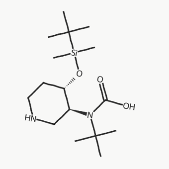 CC(C)(C)N(C(=O)O)[C@H]1CNCC[C@@H]1O[Si](C)(C)C(C)(C)C